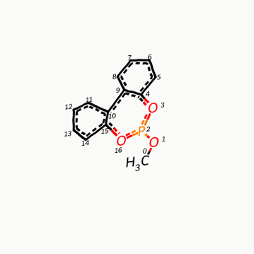 COp1oc2ccccc2c2ccccc2o1